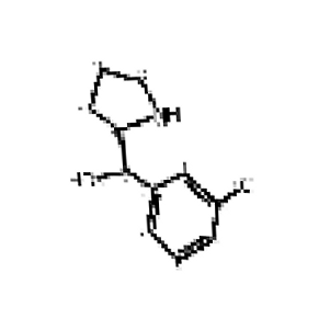 OC(c1cccc(Cl)c1)C1CCCN1